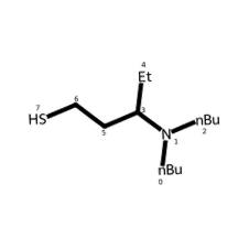 CCCCN(CCCC)C(CC)CCS